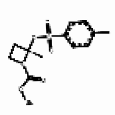 Cc1ccc(S(=O)(=O)O[C@@]2(C)CCN2C(=O)OC(C)(C)C)cc1